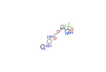 O=C(CCOC[C@@H]1CCCN1c1cn[nH]c(=O)c1C(F)(F)F)N[C@H]1CC[C@H](Nc2ccccn2)CC1